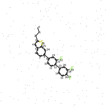 CCCc1cc2ccc(-c3ccc(-c4ccc(F)c(F)c4)c(F)c3)cc2s1